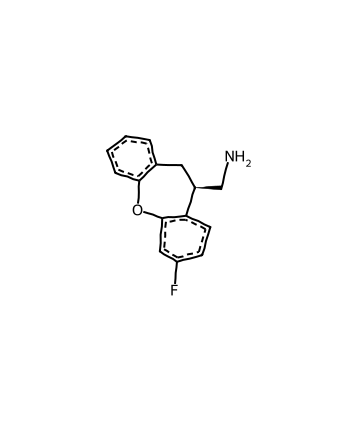 NC[C@@H]1Cc2ccccc2Oc2cc(F)ccc21